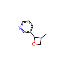 CC1COC1c1cccnc1